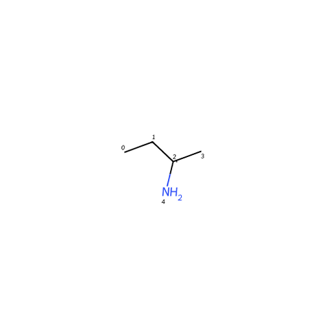 CC[C](C)N